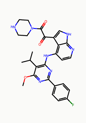 COc1nc(-c2ccc(F)cc2)nc(Nc2ccnc3[nH]cc(C(=O)C(=O)N4CCNCC4)c23)c1C(C)C